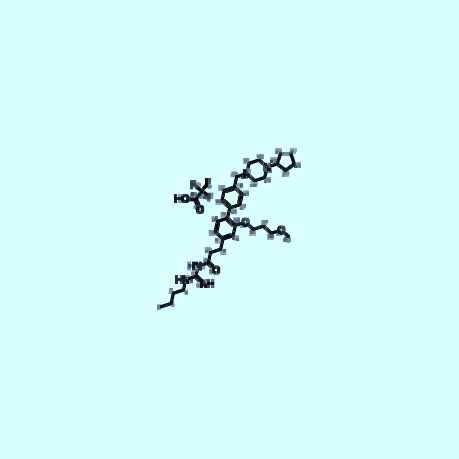 CCCCNC(=N)NC(=O)CCc1ccc(-c2ccc(CN3CCN(C4CCCC4)CC3)cc2)c(OCCCOC)c1.O=C(O)C(F)(F)F